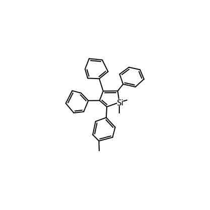 Cc1ccc(C2=C(c3ccccc3)C(c3ccccc3)=C(c3ccccc3)[Si]2(C)C)cc1